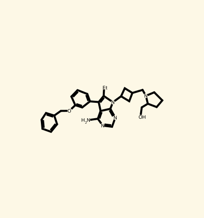 CCc1c(-c2cccc(OCc3ccccc3)c2)c2c(N)ncnc2n1C1CC(CN2CCCC2CO)C1